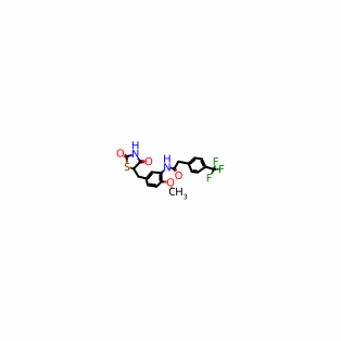 COc1ccc(CC2SC(=O)NC2=O)cc1NC(=O)Cc1ccc(C(F)(F)F)cc1